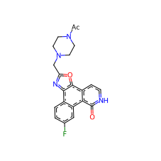 CC(=O)N1CCN(Cc2nc3c4ccc(F)cc4c4c(=O)[nH]ccc4c3o2)CC1